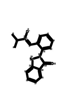 CC(C)[N+]([O-])=Cc1ccccc1-n1[se]c2ccccc2c1=O